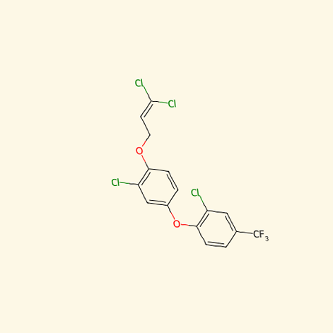 FC(F)(F)c1ccc(Oc2ccc(OCC=C(Cl)Cl)c(Cl)c2)c(Cl)c1